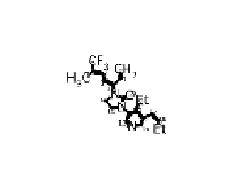 C=C/C(=C\C=C(/C)C(F)(F)F)N1CCN(c2cncc(/C=C\CC)c2CC)C1=O